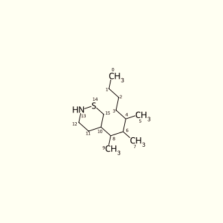 CCCCC(C)C(C)C(C)C1CCNSC1